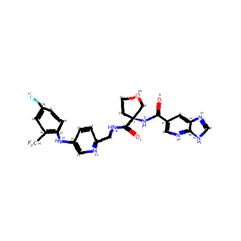 O=C(N[C@@]1(C(=O)NCc2ccc(Nc3ccc(F)cc3C(F)(F)F)cn2)CCOC1)c1cnc2[nH]cnc2c1